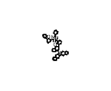 c1ccc(-c2nc(-c3cccc4c3oc3ccccc34)nc(-c3cccc4c3oc3c5ccccc5c(-n5c6cc7ccccc7cc6c6cc7ccccc7cc65)cc43)n2)cc1